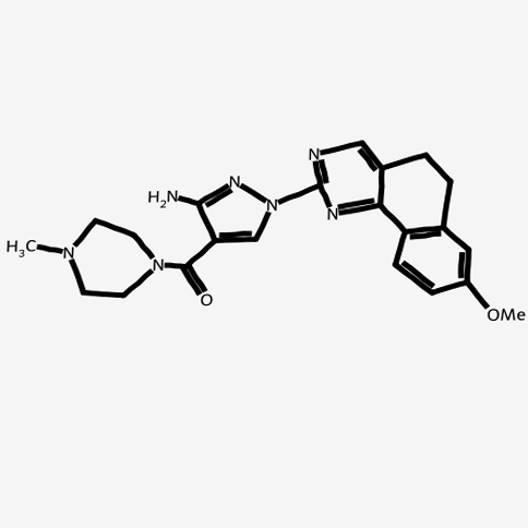 COc1ccc2c(c1)CCc1cnc(-n3cc(C(=O)N4CCN(C)CC4)c(N)n3)nc1-2